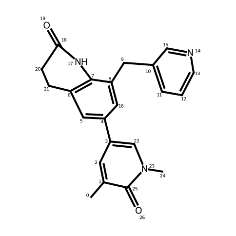 Cc1cc(-c2cc3c(c(Cc4cccnc4)c2)NC(=O)CC3)cn(C)c1=O